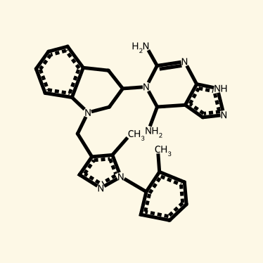 Cc1ccccc1-n1ncc(CN2CC(N3C(N)=Nc4[nH]ncc4C3N)Cc3ccccc32)c1C